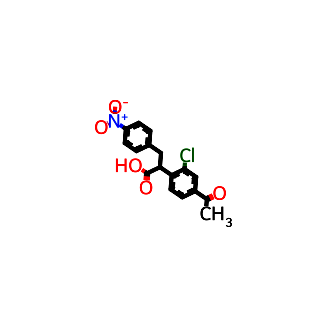 CC(=O)c1ccc(C(Cc2ccc([N+](=O)[O-])cc2)C(=O)O)c(Cl)c1